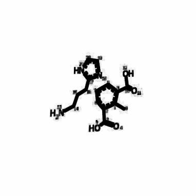 Cc1c(C(=O)O)cccc1C(=O)O.NCCCc1ncc[nH]1